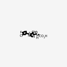 O=C(O)CNC(=O)c1ncc2nc(-c3ccc(F)c(Cl)c3)sc2c1O